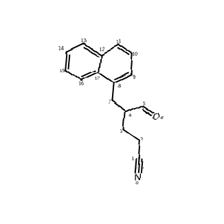 N#CCCC([C]=O)Cc1cccc2ccccc12